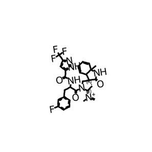 C=[N+](C)[C@@H]1C[C@@]2(CN1C(=O)C(Cc1cccc(F)c1)NC(=O)c1cc(C(F)(F)F)n[nH]1)C(=O)NC1(C)C=CC=CC12